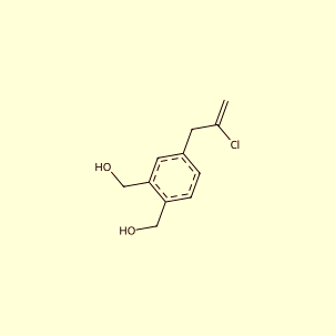 C=C(Cl)Cc1ccc(CO)c(CO)c1